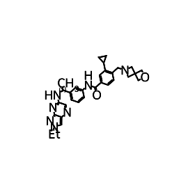 CCn1cc2ncc(N[C@@H](C)c3cccc(NC(=O)c4ccc(CN5CC6(COC6)C5)c(C5CC5)c4)c3)nc2n1